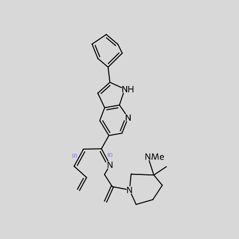 C=C/C=C\C(=N/CC(=C)N1CCCC(C)(NC)C1)c1cnc2[nH]c(-c3ccccc3)cc2c1